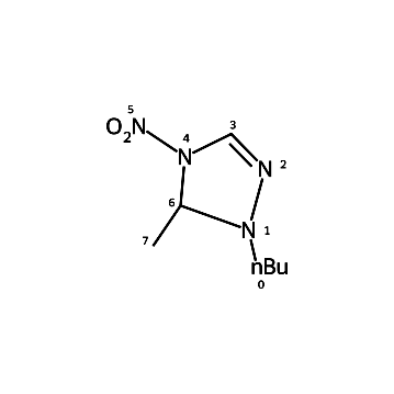 CCCCN1N=CN([N+](=O)[O-])C1C